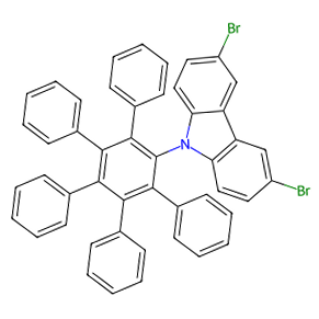 Brc1ccc2c(c1)c1cc(Br)ccc1n2-c1c(-c2ccccc2)c(-c2ccccc2)c(-c2ccccc2)c(-c2ccccc2)c1-c1ccccc1